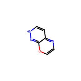 C1=COC2=NNC=CC2=N1